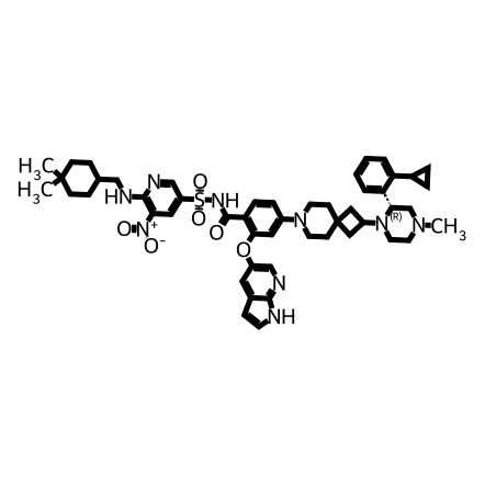 CN1CCN(C2CC3(CCN(c4ccc(C(=O)NS(=O)(=O)c5cnc(NCC6CCC(C)(C)CC6)c([N+](=O)[O-])c5)c(Oc5cnc6[nH]ccc6c5)c4)CC3)C2)[C@H](c2ccccc2C2CC2)C1